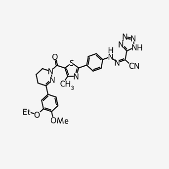 CCOc1cc(C2=NN(C(=O)c3sc(-c4ccc(NN=C(C#N)c5nnn[nH]5)cc4)nc3C)CCC2)ccc1OC